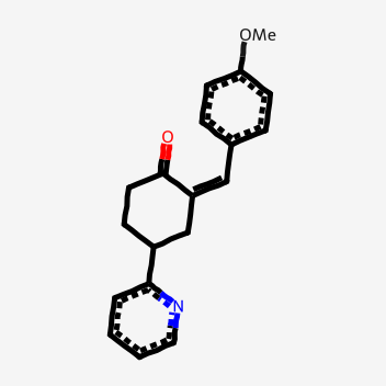 COc1ccc(/C=C2/CC(c3ccccn3)CCC2=O)cc1